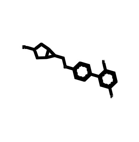 CC(C)N1CC2C(COc3ccc(-c4cc(F)ccc4F)cc3)C2C1